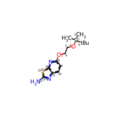 CC(C)(C)[Si](C)(C)OCCOc1ccc2nc(N)sc2n1